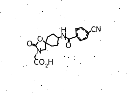 N#Cc1ccc(C(=O)NC2CCC3(CC2)CN(CC(=O)O)C(=O)O3)cc1